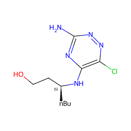 CCCC[C@@H](CCO)Nc1nc(N)nnc1Cl